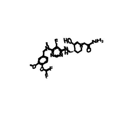 COc1cc(CN(C)c2ncnc(NC[C@H]3CCN(CC(N)=O)C[C@@H]3O)c2F)ccc1OC(F)F